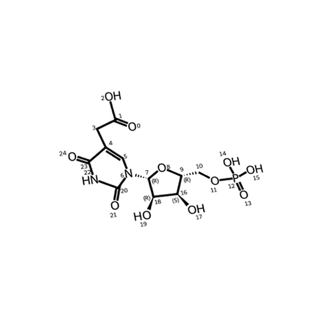 O=C(O)Cc1cn([C@@H]2O[C@H](COP(=O)(O)O)[C@@H](O)[C@H]2O)c(=O)[nH]c1=O